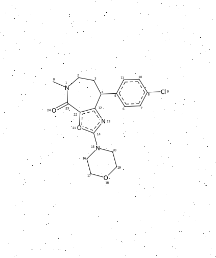 CN1CCC(c2ccc(Cl)cc2)c2nc(N3CCOCC3)oc2C1=O